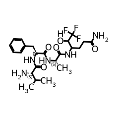 CC(C)[C@H](N)C(=O)N[C@@H](Cc1ccccc1)C(=O)N[C@@H](C)C(=O)NC(CCC(N)=O)C(O)C(F)(F)F